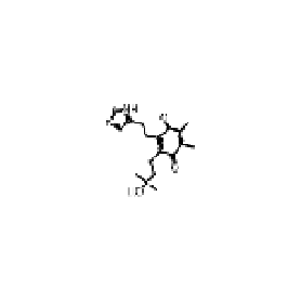 CC1=C(C)C(=O)C(CCC(C)(C)O)=C(CCc2cnc[nH]2)C1=O